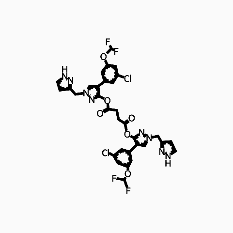 O=C(CCC(=O)Oc1nn(Cc2cc[nH]n2)cc1-c1cc(Cl)cc(OC(F)F)c1)Oc1nn(Cc2cc[nH]n2)cc1-c1cc(Cl)cc(OC(F)F)c1